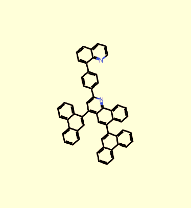 c1cnc2c(-c3ccc(-c4cc(-c5cc6ccccc6c6ccccc56)c5cc(-c6cc7ccccc7c7ccccc67)c6ccccc6c5n4)cc3)cccc2c1